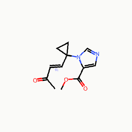 COC(=O)c1cncn1C1(/C=C/C(C)=O)CC1